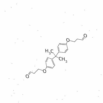 CC(C)(c1ccc(OCCC=O)cc1)c1ccc(OCCC=O)cc1